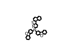 c1ccc2c(c1)ccc1sc3nc(N(c4ccc5oc6ccccc6c5c4)c4ccc5oc6ccccc6c5c4)ccc3c12